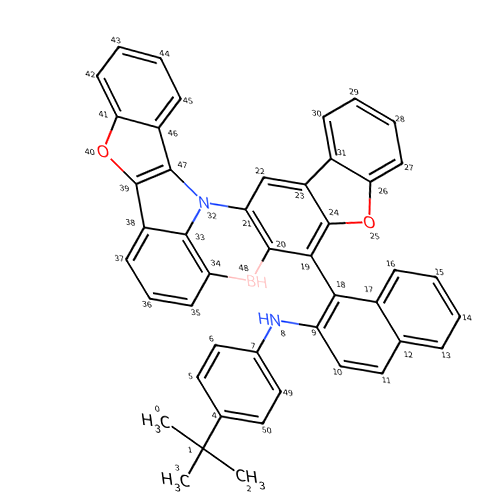 CC(C)(C)c1ccc(Nc2ccc3ccccc3c2-c2c3c(cc4c2oc2ccccc24)-n2c4c(cccc4c4oc5ccccc5c42)B3)cc1